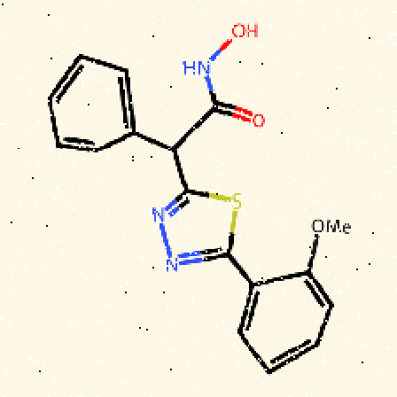 COc1ccccc1-c1nnc(C(C(=O)NO)c2ccccc2)s1